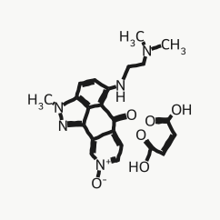 CN(C)CCNc1ccc2c3c(nn2C)-c2c[n+]([O-])ccc2C(=O)c13.O=C(O)/C=C\C(=O)O